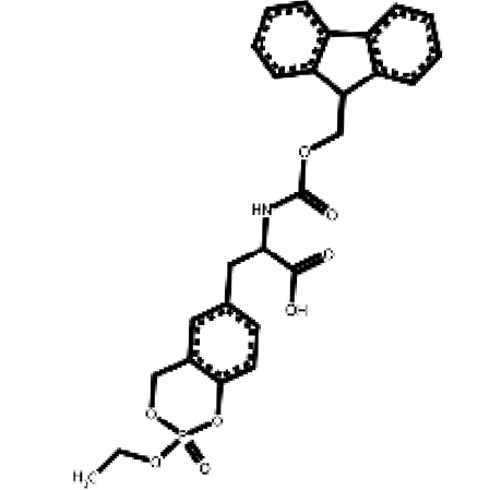 CCOP1(=O)OCc2cc(CC(NC(=O)OCC3c4ccccc4-c4ccccc43)C(=O)O)ccc2O1